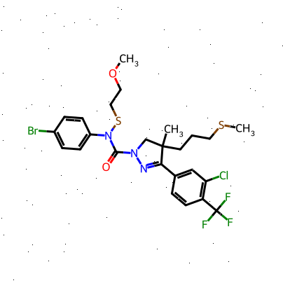 COCCSN(C(=O)N1CC(C)(CCCSC)C(c2ccc(C(F)(F)F)c(Cl)c2)=N1)c1ccc(Br)cc1